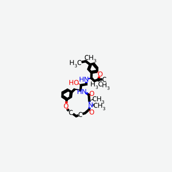 CC(C)c1ccc2c(c1)[C@H](NC[C@@H](O)[C@@H]1Cc3cccc(c3)OCCCCCC(=O)N(C)[C@@H](C)C(=O)N1)CC(C)(C)O2